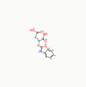 O=C(O)CC(Sc1nc2ccccc2o1)C(=O)O